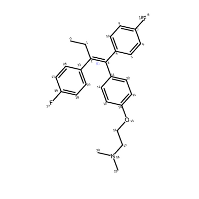 CC/C(=C(\c1ccc([18F])cc1)c1ccc(OCCN(C)C)cc1)c1ccc(F)cc1